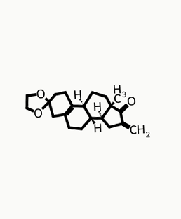 C=C1C[C@H]2[C@@H]3CCC4=C(CCC5(C4)OCCO5)[C@H]3CC[C@]2(C)C1=O